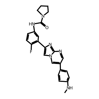 CNc1ccc(-c2cnc3nc(-c4cc(NC(=O)N5CCCC5)ccc4F)cn3c2)cc1